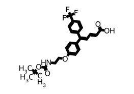 CC(C)(C)OC(=O)NCCOc1ccc(C(=CC=CC(=O)O)c2ccc(C(F)(F)F)cc2)cc1